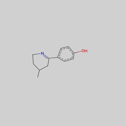 CC1CCN=C(c2ccc(O)cc2)C1